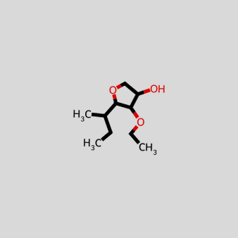 CCOC1C(O)COC1C(C)CC